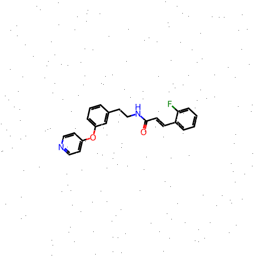 O=C(C=Cc1ccccc1F)NCCc1cccc(Oc2ccncc2)c1